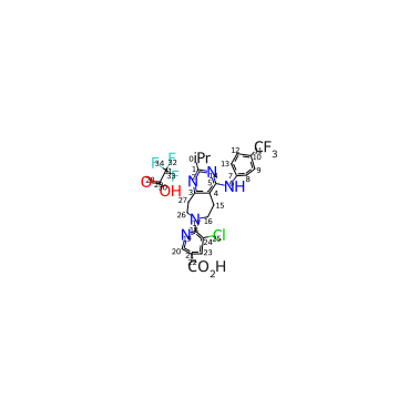 CC(C)c1nc2c(c(Nc3ccc(C(F)(F)F)cc3)n1)CCN(c1ncc(C(=O)O)cc1Cl)CC2.O=C(O)C(F)(F)F